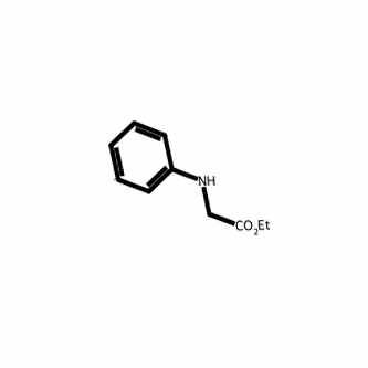 CCOC(=O)CNc1c[c]ccc1